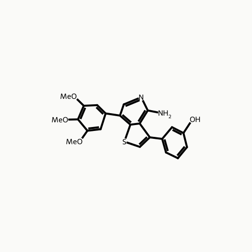 COc1cc(-c2cnc(N)c3c(-c4cccc(O)c4)csc23)cc(OC)c1OC